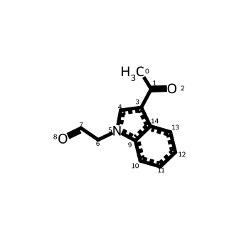 CC(=O)c1cn(CC=O)c2ccccc12